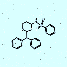 O=S(=O)(NC1CCOC(C(c2ccccc2)c2ccccc2)C1)c1ccccc1